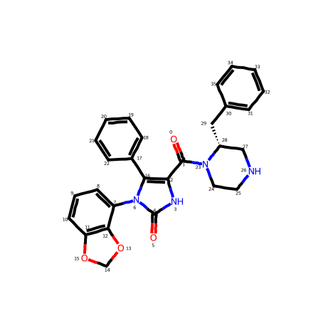 O=C(c1[nH]c(=O)n(-c2cccc3c2OCO3)c1-c1ccccc1)N1CCNC[C@H]1Cc1ccccc1